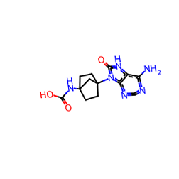 Nc1ncnc2c1[nH]c(=O)n2C12CCC(NC(=O)O)(CC1)C2